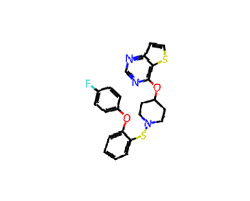 Fc1ccc(Oc2ccccc2SN2CCC(Oc3ncnc4ccsc34)CC2)cc1